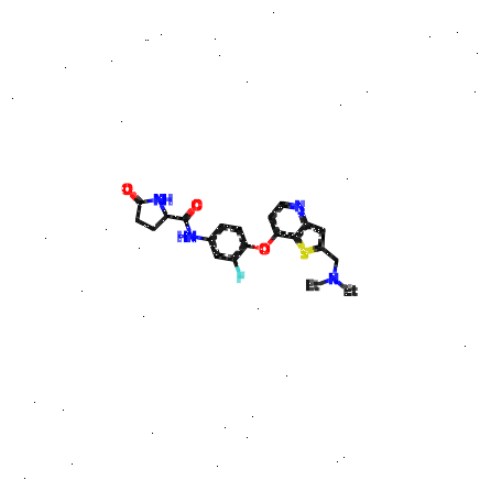 CCN(CC)Cc1cc2nccc(Oc3ccc(NC(=O)C4CCC(=O)N4)cc3F)c2s1